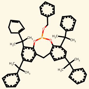 CC(C)(C1=CC=CCC1)c1cc(C(C)(C)c2ccccc2)cc2c1OP(OCc1ccccc1)Oc1c(cc(C(C)(C)c3ccccc3)cc1C(C)(C)c1ccccc1)C2